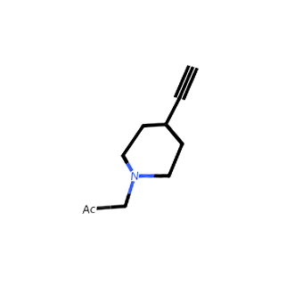 C#CC1CCN(CC(C)=O)CC1